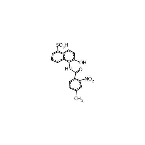 Cc1ccc(C(=O)Nc2c(O)ccc3c(S(=O)(=O)O)cccc23)c([N+](=O)[O-])c1